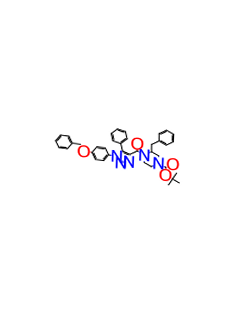 CC(C)(C)OC(=O)N1CCN(C(=O)c2nnn(-c3ccc(OCc4ccccc4)cc3)c2-c2ccccc2)C(Cc2ccccc2)C1